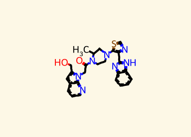 CC1CN(c2scnc2-c2nc3ccccc3[nH]2)CCN1C(=O)Cn1c(CO)cc2cccnc21